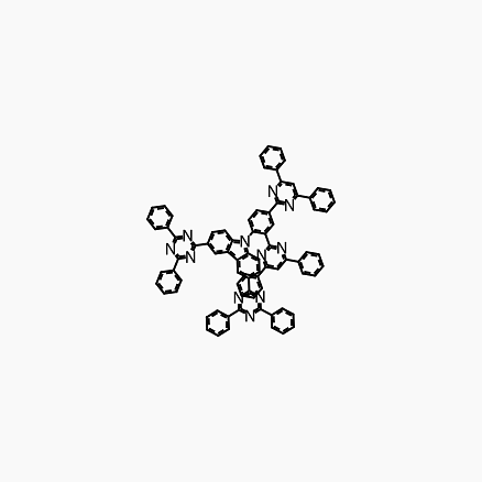 c1ccc(-c2cc(-c3ccccc3)nc(-c3ccc(-n4c5ccc(-c6nc(-c7ccccc7)nc(-c7ccccc7)n6)cc5c5cc(-c6nc(-c7ccccc7)nc(-c7ccccc7)n6)ccc54)c(-c4nc(-c5ccccc5)cc(-c5ccccc5)n4)c3)n2)cc1